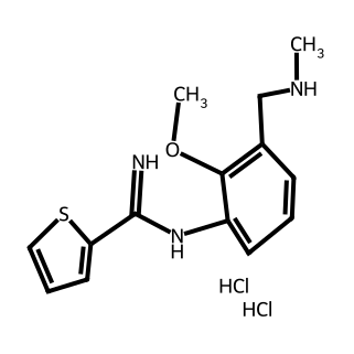 CNCc1cccc(NC(=N)c2cccs2)c1OC.Cl.Cl